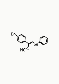 N#CSC(=C[Se]c1ccccc1)c1ccc(Br)cc1